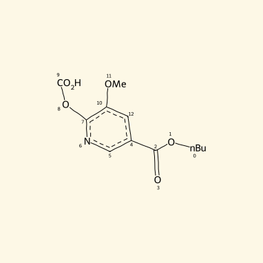 CCCCOC(=O)c1cnc(OC(=O)O)c(OC)c1